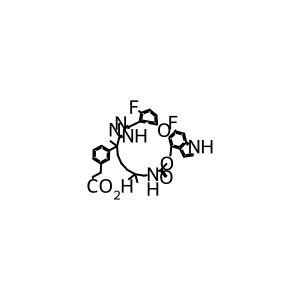 CC1(C)CCCC(C)(c2cccc(CCC(=O)O)c2)c2nnc([nH]2)-c2cc(ccc2F)Oc2c(F)cc3[nH]ccc3c2COC(=O)NC1